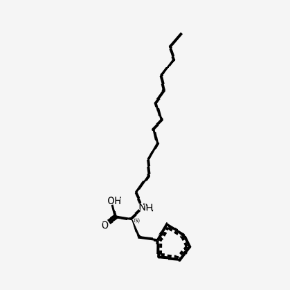 CCCCCCCCCCCCN[C@@H](Cc1ccccc1)C(=O)O